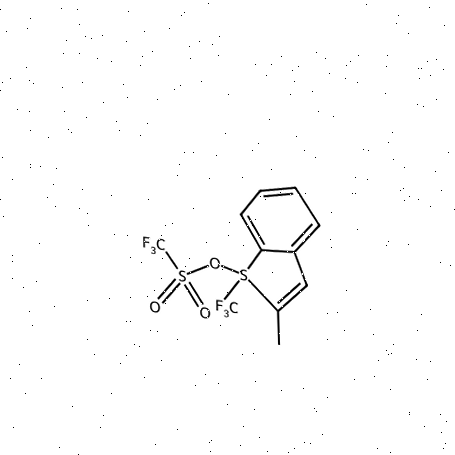 CC1=Cc2ccccc2S1(OS(=O)(=O)C(F)(F)F)C(F)(F)F